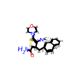 [C-]#[N+]c1c(N2CCOCC2)sc(C(N)=O)c1Cc1ccc2ccccc2c1